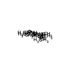 CC(C)(C)OC(=O)N1CCC[C@H](Nc2cccc3nc(Nc4ccc5c(c4)N(C(=O)OC(C)(C)C)C(=O)C5(C)C)nn23)C1